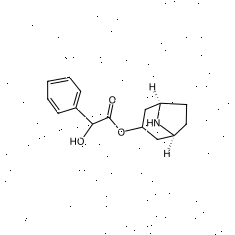 O=C(OC1C[C@H]2CC[C@@H](C1)N2)C(O)c1ccccc1